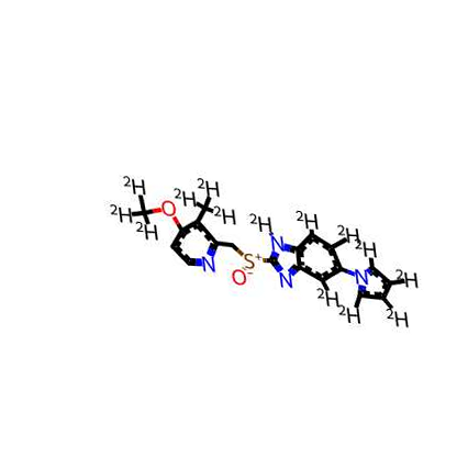 [2H]c1c(-n2c([2H])c([2H])c([2H])c2[2H])c([2H])c2nc([S+]([O-])Cc3nccc(OC([2H])([2H])[2H])c3C([2H])([2H])[2H])n([2H])c2c1[2H]